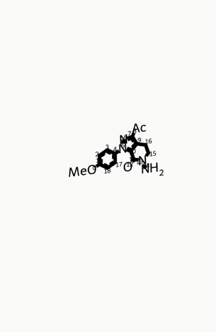 COc1ccc(-n2nc(C(C)=O)c3c2C(=O)N(N)CC3)cc1